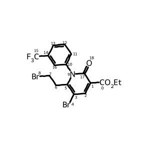 CCOC(=O)c1cc(Br)c(CCBr)n(-c2cccc(C(F)(F)F)c2)c1=O